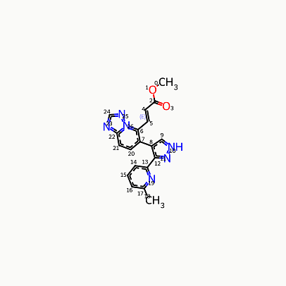 COC(=O)/C=C/c1c(-c2c[nH]nc2-c2cccc(C)n2)ccc2ncnn12